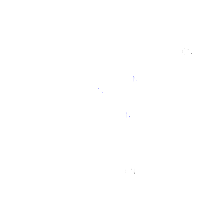 C#CCCN1CN(CCC#N)CN(CCC#N)C1